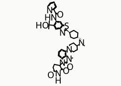 CN(C[C@H]1CC[C@H](c2nc3cc(C(C)(C)O)c(NC(=O)c4ccccn4)cc3s2)CC1)C1CCN(c2cccc3c2n(C)c(=O)n3C2CCC(=O)NC2=O)CC1